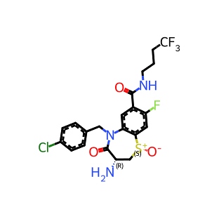 N[C@H]1C[S@@+]([O-])c2cc(F)c(C(=O)NCCCC(F)(F)F)cc2N(Cc2ccc(Cl)cc2)C1=O